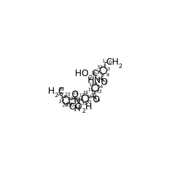 C=Cc1ccc(C(=O)Nc2ccc(C(=O)c3ccc(NC(=O)c4cc(C=C)ccc4C(=O)O)cc3)cc2)c(C(=O)O)c1